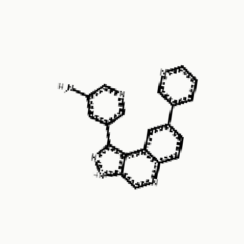 Nc1cncc(-c2n[nH]c3cnc4ccc(-c5cccnc5)cc4c23)c1